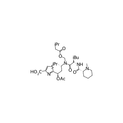 CC[C@H](C)[C@H](NC(=O)[C@H]1CCCCN1C)C(=O)N(COC(=O)CC(C)C)[C@H](C[C@@H](OC(C)=O)c1nc(C(=O)O)cs1)C(C)C